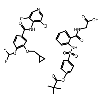 CC(C)(C)C(=O)Oc1ccc(S(=O)(=O)Nc2ccccc2C(=O)NCC(=O)O)cc1.O=C(Nc1c(Cl)cncc1Cl)c1ccc(OC(F)F)c(OCC2CC2)c1